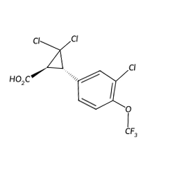 O=C(O)[C@@H]1[C@@H](c2ccc(OC(F)(F)F)c(Cl)c2)C1(Cl)Cl